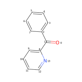 O=C(c1c[c]ccc1)c1ccccn1